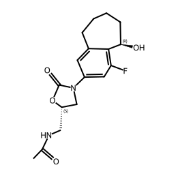 CC(=O)NC[C@H]1CN(c2cc(F)c3c(c2)CCCC[C@H]3O)C(=O)O1